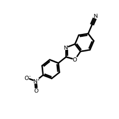 N#Cc1ccc2oc(-c3ccc([N+](=O)[O-])cc3)nc2c1